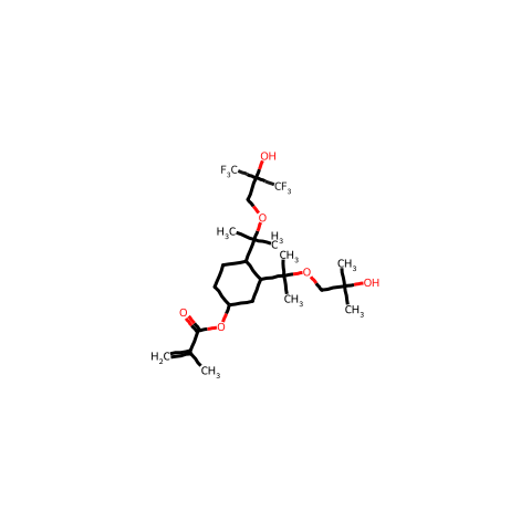 C=C(C)C(=O)OC1CCC(C(C)(C)OCC(O)(C(F)(F)F)C(F)(F)F)C(C(C)(C)OCC(C)(C)O)C1